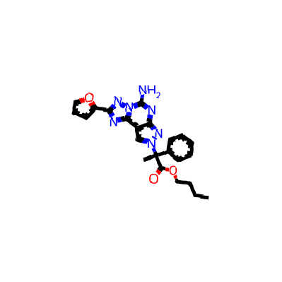 CCCCOC(=O)C(C)(c1ccccc1)n1cc2c(nc(N)n3nc(-c4ccco4)nc23)n1